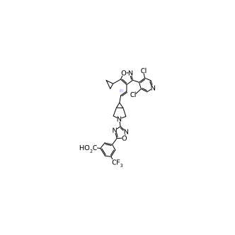 O=C(O)c1cc(-c2nc(N3CC4C(/C=C/c5c(-c6c(Cl)cncc6Cl)noc5C5CC5)C4C3)no2)cc(C(F)(F)F)c1